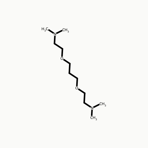 CN(C)CCOCCCOCCN(C)C